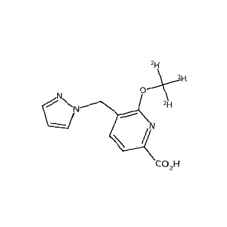 [2H]C([2H])([2H])Oc1nc(C(=O)O)ccc1Cn1cccn1